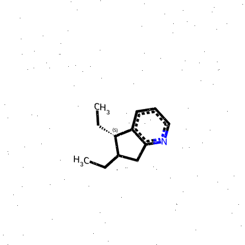 CCC1Cc2ncccc2[C@H]1CC